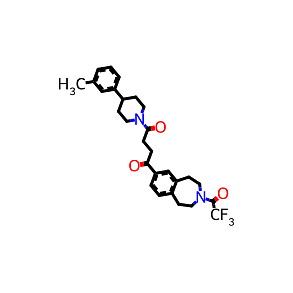 Cc1cccc(C2CCN(C(=O)CCC(=O)c3ccc4c(c3)CCN(C(=O)C(F)(F)F)CC4)CC2)c1